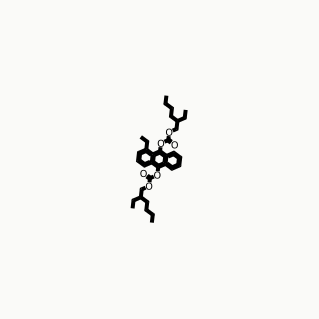 CCCCC(CC)COC(=O)Oc1c2ccccc2c(OC(=O)OCC(CC)CCCC)c2c(CC)cccc12